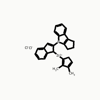 CC1=CC[C]([Zr+2][CH]2C(n3c4c(c5ccccc53)CCC4)=Cc3ccccc32)=C1C.[Cl-].[Cl-]